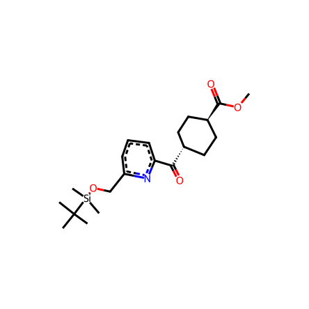 COC(=O)[C@H]1CC[C@H](C(=O)c2cccc(CO[Si](C)(C)C(C)(C)C)n2)CC1